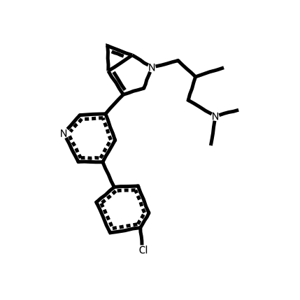 CC(CN(C)C)CN1CC(c2cncc(-c3ccc(Cl)cc3)c2)=C2C=C21